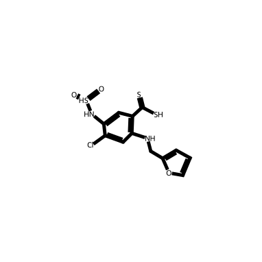 O=[SH](=O)Nc1cc(C(=S)S)c(NCc2ccco2)cc1Cl